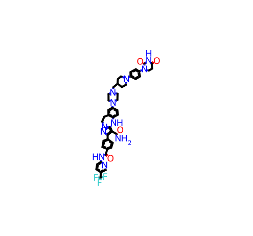 NC(=O)c1c(-c2ccc(C(=O)Nc3ccc(C(F)(F)F)cn3)cc2)nn2c1Nc1ccc(N3CCN(CC4CCN(c5ccc(N6CCC(=O)NC6=O)cc5)CC4)CC3)cc1CC2